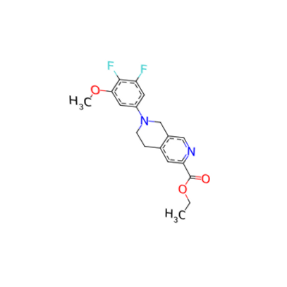 CCOC(=O)c1cc2c(cn1)CN(c1cc(F)c(F)c(OC)c1)CC2